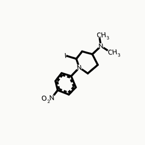 CN(C)C1CCN(c2ccc([N+](=O)[O-])cc2)C(I)C1